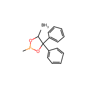 B.CC1OP(C)OC1(c1ccccc1)c1ccccc1